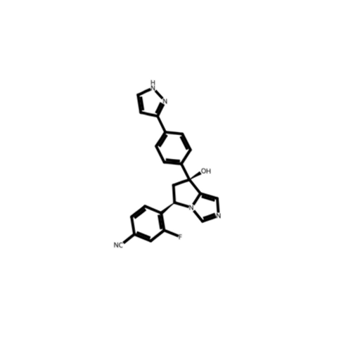 N#Cc1ccc([C@H]2C[C@](O)(c3ccc(-c4cc[nH]n4)cc3)c3cncn32)c(F)c1